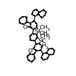 C[Si]1(C)c2cc(-c3cccc4ccccc34)c3c(oc4ccccc43)c2-c2ccc3c(c21)[Si](C)(C)c1cc(-c2cccc4ccccc24)c2c(oc4ccccc42)c1-3